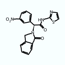 O=C(Nc1nccs1)[C@H](c1cccc([N+](=O)[O-])c1)N1Cc2ccccc2C1=O